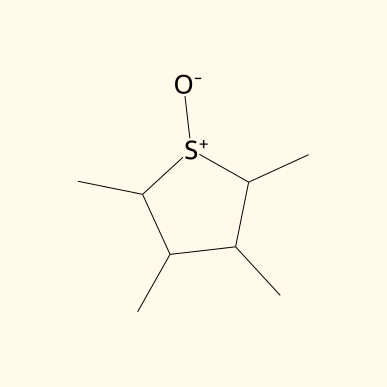 CC1C(C)C(C)[S+]([O-])C1C